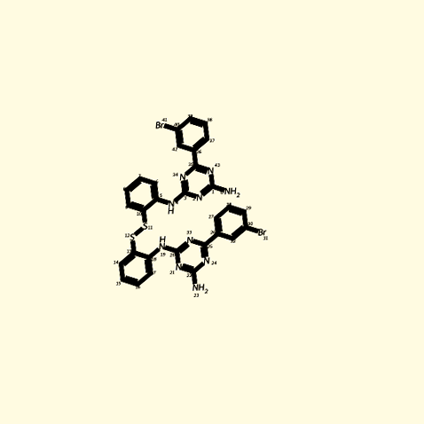 Nc1nc(Nc2ccccc2SSc2ccccc2Nc2nc(N)nc(-c3cccc(Br)c3)n2)nc(-c2cccc(Br)c2)n1